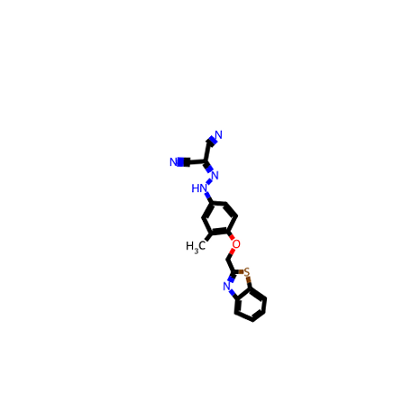 Cc1cc(NN=C(C#N)C#N)ccc1OCc1nc2ccccc2s1